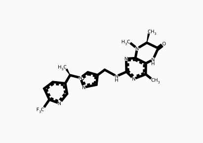 Cc1nc(NCc2cnn([C@H](C)c3ccc(C(F)(F)F)nc3)c2)nc2c1NC(=O)[C@H](C)N2C